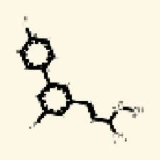 CC(C=Cc1cc(F)cc(-c2ccc(F)cc2)c1)NO